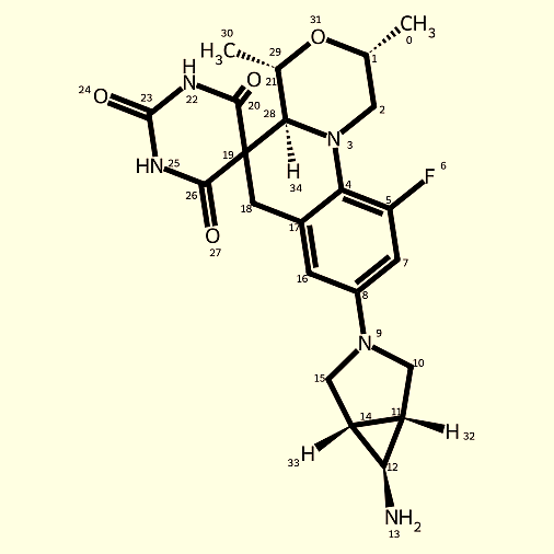 C[C@@H]1CN2c3c(F)cc(N4C[C@@H]5[C@@H](N)[C@@H]5C4)cc3CC3(C(=O)NC(=O)NC3=O)[C@H]2[C@H](C)O1